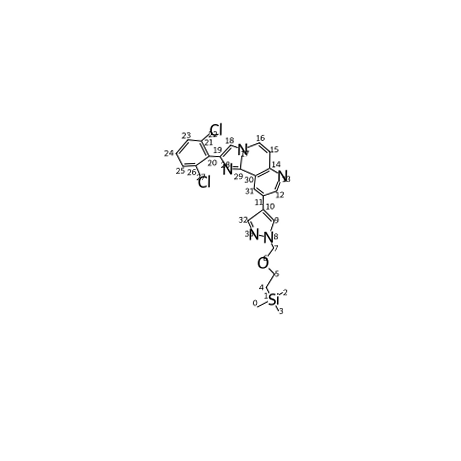 C[Si](C)(C)CCOCn1cc(-c2cnc3ccn4cc(-c5c(Cl)cccc5Cl)nc4c3c2)cn1